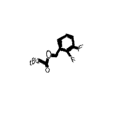 CC(C)(C)C(=O)OCc1cccc(F)c1F